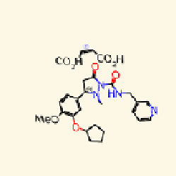 COc1ccc([C@H]2CC(=O)N(C(=O)NCc3cccnc3)N2C)cc1OC1CCCC1.O=C(O)/C=C\C(=O)O